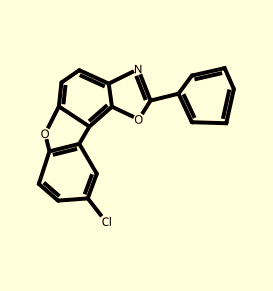 Clc1ccc2oc3ccc4nc(-c5ccccc5)oc4c3c2c1